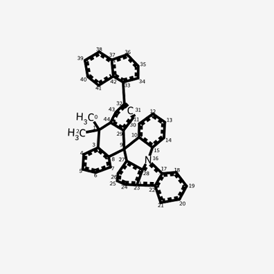 CC1(C)c2ccccc2C2(c3ccccc3-n3c4ccccc4c4cccc2c43)c2ccc(-c3cccc4ccccc34)cc21